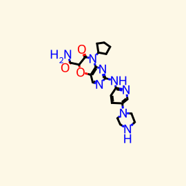 NC(=O)C1Oc2cnc(Nc3ccc(N4CCNCC4)cn3)nc2N(C2CCCC2)C1=O